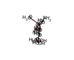 CC(=O)CCCCCCCCCCC(=O)NC(COCCC(=O)NCCCN)(COCCC(=O)NCCCN)COCCC(=O)NCCCNC(=O)CCCCO[C@@H]1OC(CO)[C@@H](O)C(O)C1NC(C)=O